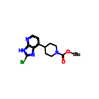 CC(C)(C)OC(=O)N1CCC(c2ccnc3[nH]c(Br)nc23)CC1